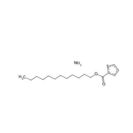 CCCCCCCCCCCCOC(=O)c1cccs1.N